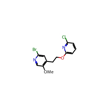 COc1cnc(Br)cc1CCOc1cccc(Cl)n1